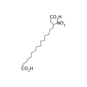 O=C(O)CCCCCCCCCCCCCCC(CC(=O)O)[N+](=O)[O-]